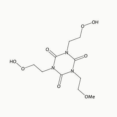 COCCn1c(=O)n(CCOO)c(=O)n(CCOO)c1=O